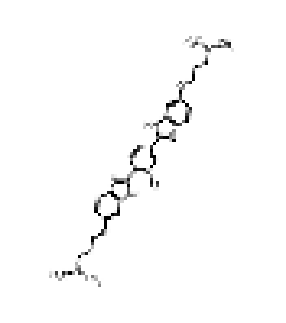 CN(C)CCCOc1ccc2nc(-c3ccc(-c4nc5ccc(OCCCN(C)C)cc5[nH]4)c(Cl)c3)[nH]c2c1